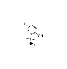 CC(C)(N)c1cc(F)ccc1O